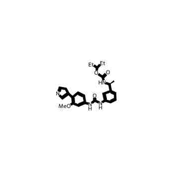 CCC(CC)OC(=O)N[C@@H](C)c1cccc(NC(=O)Nc2ccc(C3=CN=CC3)c(OC)c2)c1